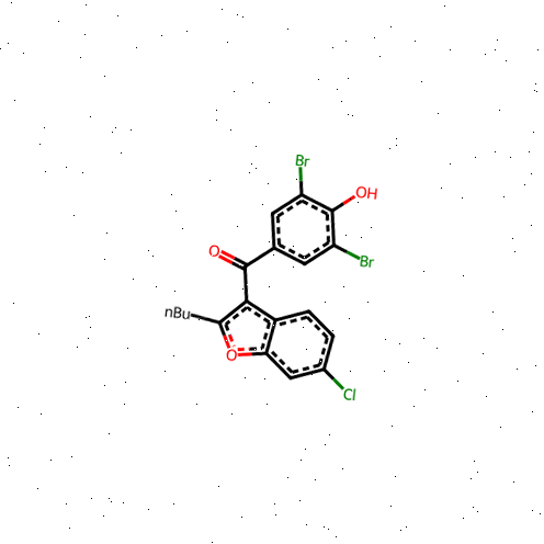 CCCCc1oc2cc(Cl)ccc2c1C(=O)c1cc(Br)c(O)c(Br)c1